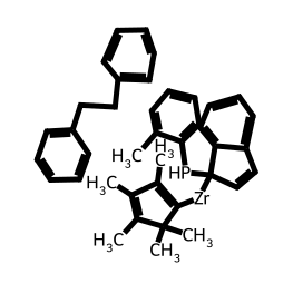 CC1=C(C)C(C)(C)[C]([Zr][C]2(Pc3ccccc3C)C=Cc3ccccc32)=C1C.c1ccc(CCc2ccccc2)cc1